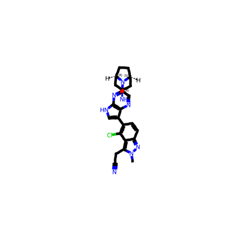 Cn1nc2ccc(-c3c[nH]c4nc(N5[C@@H]6CC[C@H]5C[C@@H](N)C6)cnc34)c(Cl)c2c1CC#N